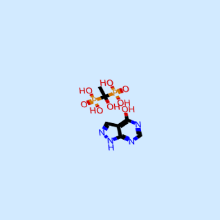 CC(O)(P(=O)(O)O)P(=O)(O)O.Oc1ncnc2[nH]ncc12